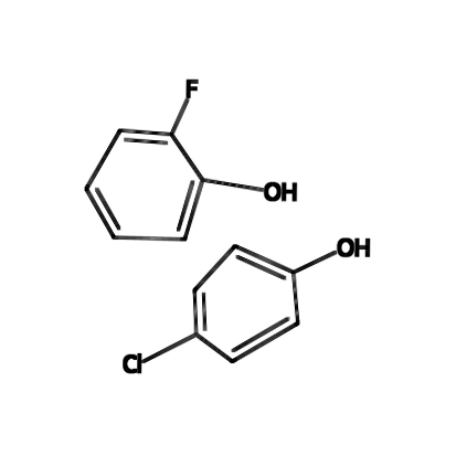 Oc1ccc(Cl)cc1.Oc1ccccc1F